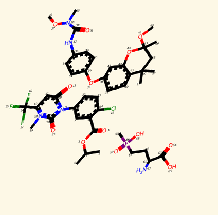 CC(C)OC(=O)c1cc(-n2c(=O)cc(C(F)(F)F)n(C)c2=O)ccc1Cl.CON(C)C(=O)Nc1ccc(Oc2ccc3c(c2)OC(C)(OC)CC3(C)C)cc1.CP(=O)(O)CCC(N)C(=O)O